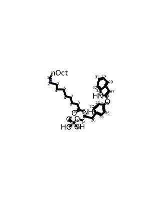 CCCCCCCC/C=C\CCCCCCCC(=O)N[C@@H](COP(=O)(O)O)Cc1ccc(Oc2cc3ccccc3[nH]2)cc1